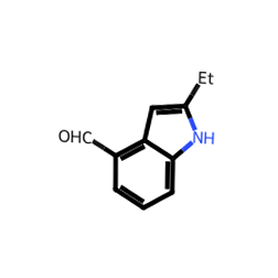 CCc1cc2c(C=O)cccc2[nH]1